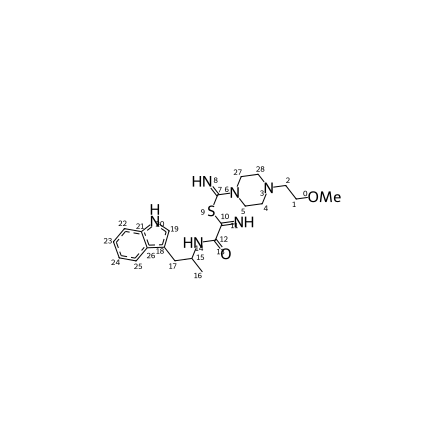 COCCN1CCN(C(=N)SC(=N)C(=O)NC(C)Cc2c[nH]c3ccccc23)CC1